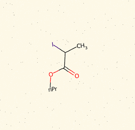 CCCOC(=O)C(C)I